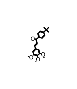 COc1cc(/C=C/C(=O)c2ccc(C(C)(C)C)cc2)cc(OC)c1OC